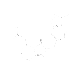 Cn1ncc2cc(Cn3nc4n(c3=O)C(OC(=O)O)CCC4)ccc21